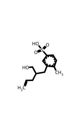 C=CCC(CO)Cc1cc(S(=O)(=O)O)ccc1C